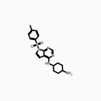 Cc1ccc(S(=O)(=O)n2ccc3c(NC4CCC(N)CC4)ncnc32)cc1